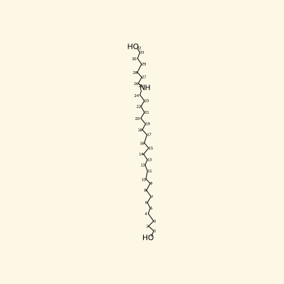 OCCCCCCCCCCCCCCCCCCCCCCCCNCCCCCCO